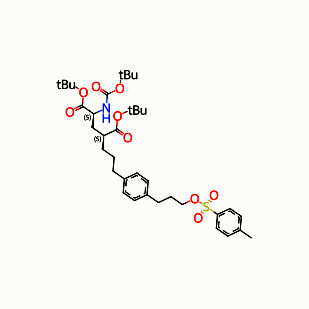 Cc1ccc(S(=O)(=O)OCCCc2ccc(CCC[C@@H](C[C@H](NC(=O)OC(C)(C)C)C(=O)OC(C)(C)C)C(=O)OC(C)(C)C)cc2)cc1